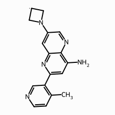 Cc1ccncc1-c1cc(N)c2ncc(N3C[CH]C3)cc2n1